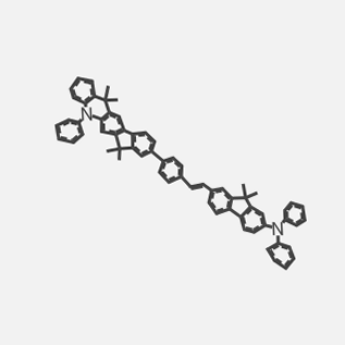 CC1(C)c2cc(/C=C/c3ccc(-c4ccc5c(c4)C(C)(C)c4cc6c(cc4-5)C(C)(C)c4ccccc4N6c4ccccc4)cc3)ccc2-c2ccc(N(c3ccccc3)c3ccccc3)cc21